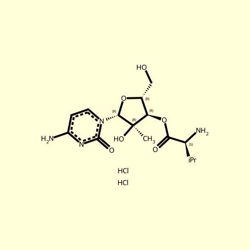 CC(C)[C@H](N)C(=O)O[C@@H]1[C@@H](CO)O[C@@H](n2ccc(N)nc2=O)[C@]1(C)O.Cl.Cl